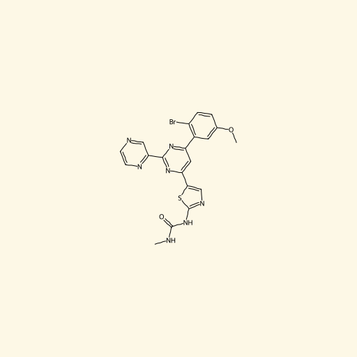 CNC(=O)Nc1ncc(-c2cc(-c3cc(OC)ccc3Br)nc(-c3cnccn3)n2)s1